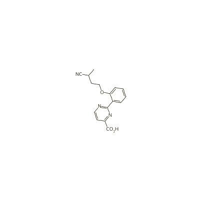 CC(C#N)CCOc1ccccc1-c1nccc(C(=O)O)n1